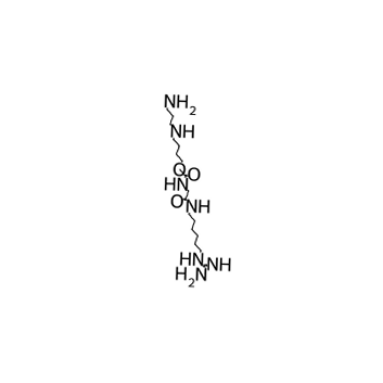 N=C(N)NCCCCCCNC(=O)CNC(=O)OCCCCNCCCN